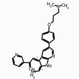 C=C(/C=c1\c(=C/N)[nH]c2ncc(-c3ccc(OCCCN(C)C)cc3)cc12)c1cccnc1